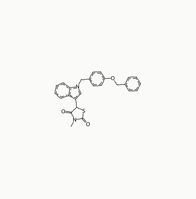 CN1C(=O)SC(c2cn(Cc3ccc(OCc4ccccc4)cc3)c3ccccc23)C1=O